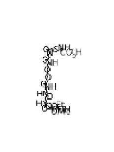 CCC(CO)OC(COC(=O)NCCC(=O)NCCNC(=O)CCOCCOCCNC(=O)CCN1CC(SCC(N)C(=O)O)CC1=O)OC